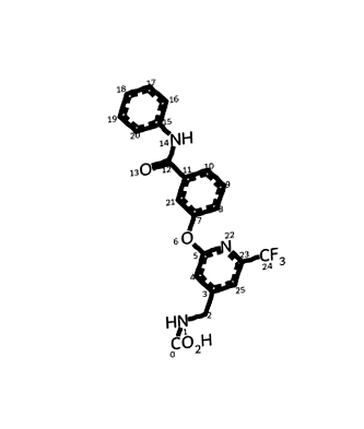 O=C(O)NCc1cc(Oc2cccc(C(=O)Nc3ccccc3)c2)nc(C(F)(F)F)c1